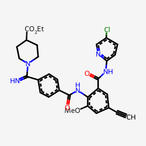 C#Cc1cc(OC)c(NC(=O)c2ccc(C(=N)N3CCC(C(=O)OCC)CC3)cc2)c(C(=O)Nc2ccc(Cl)cn2)c1